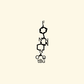 CC(C)(C)OC(=O)N1CCc2nc(-c3ccc(F)cc3)nnc2C1